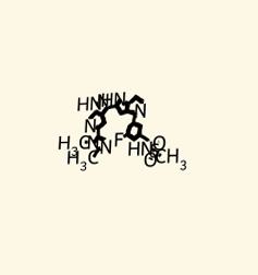 Cc1ncc(-c2cc3c(-c4cc5c(-c6cc(F)cc(CNS(C)(=O)=O)c6)nccc5[nH]4)n[nH]c3cn2)n1C